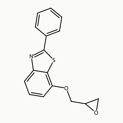 c1ccc(-c2nc3cccc(OCC4CO4)c3s2)cc1